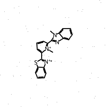 Cn1c(-c2cccc(-c3sc4ccccc4[n+]3C)[n+]2C)nc2ccccc21